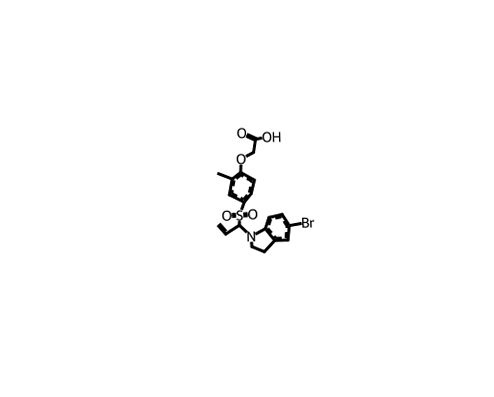 C=CC(N1CCc2cc(Br)ccc21)S(=O)(=O)c1ccc(OCC(=O)O)c(C)c1